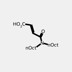 CCCCCCCCN(CCCCCCCC)C(=O)/C=C/C(=O)O